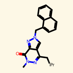 CC(C)Cc1nn(C)c(=O)c2nn(Cc3cccc4ccccc34)cc12